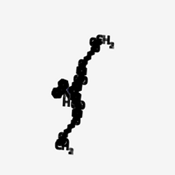 C=CC(=O)OCCCCCCOc1ccc(C(=O)Oc2ccc(-c3ccc(OC(=O)c4ccc(OCCCCCCOC(=O)C=C)cc4)cc3/C=N/NC3c4ccccc4-c4ccccc43)cc2)cc1